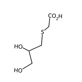 O=C(O)CSCC(O)CO